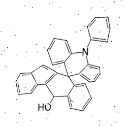 OC1c2ccccc2C2(c3ccccc3N(c3ccccc3)c3ccccc32)c2ccc3ccccc3c21